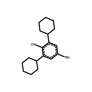 CC(C)(C)c1cc(C2CCCCC2)c(N=O)c(C2CCCCC2)c1